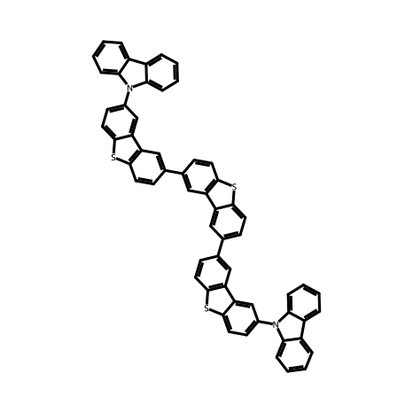 c1ccc2c(c1)c1ccccc1n2-c1ccc2sc3ccc(-c4ccc5sc6ccc(-c7ccc8sc9ccc(-n%10c%11ccccc%11c%11ccccc%11%10)cc9c8c7)cc6c5c4)cc3c2c1